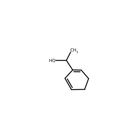 CC(O)C1=CC[CH]C=C1